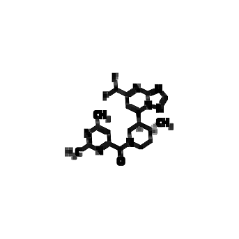 Cc1cc(C(=O)N2CC[C@@H](C)[C@H](c3cc(C(F)F)nc4ncnn34)C2)nc(C)n1